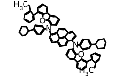 CCc1ccccc1-c1cccc2c1oc1c(N(c3ccc(C4CCCCC4)cc3)c3ccc4ccc5c(N(c6ccc(C7CCCCC7)cc6)c6cccc7c6oc6c(-c8ccccc8CC)cccc67)ccc6ccc3c4c65)cccc12